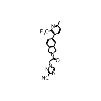 Cc1ccc(-c2ccc3c(c2)CN(C(=O)Cn2cnc(C#N)n2)C3)c(C(F)(F)F)n1